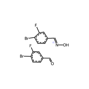 O/N=C/c1ccc(Br)c(F)c1.O=Cc1ccc(Br)c(F)c1